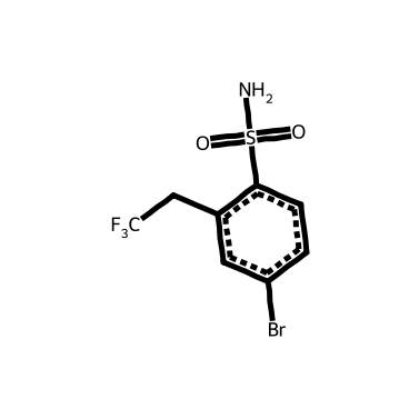 NS(=O)(=O)c1ccc(Br)cc1CC(F)(F)F